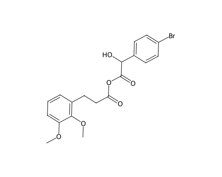 COc1cccc(CCC(=O)OC(=O)C(O)c2ccc(Br)cc2)c1OC